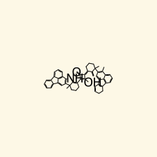 C=C1/C(=C2/C(=O)C(C3=C4Nc5c(cc6c7c(cccc57)-c5ccccc5-6)C4(C)CCC3)=C2O)CCCC1(C)c1cc2c3c(cccc3c1C)C1=C2C=CCC1